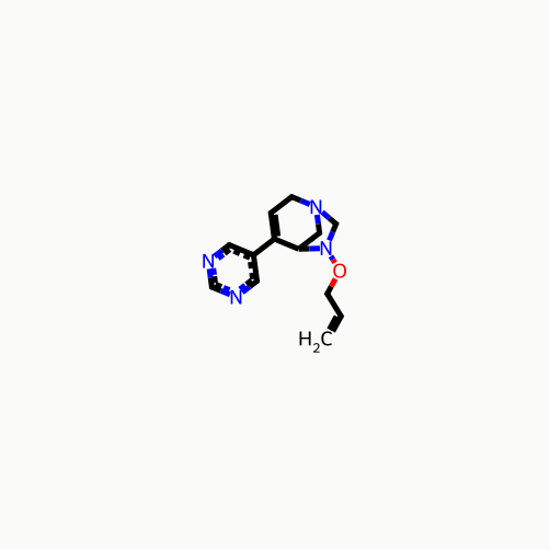 C=CCON1CN2CC=C(c3cncnc3)C1C2